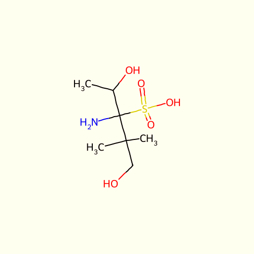 CC(O)C(N)(C(C)(C)CO)S(=O)(=O)O